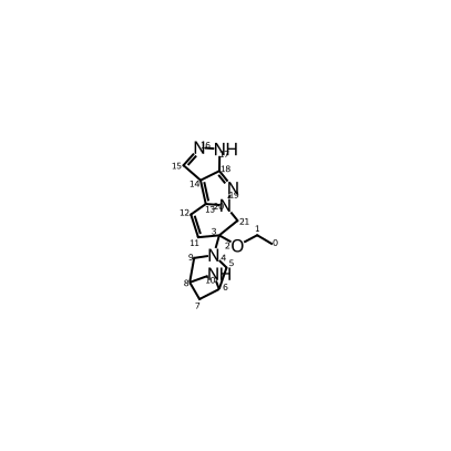 CCOC1(N2CC3CC(C2)N3)C=Cc2c3cn[nH]c3nn2C1